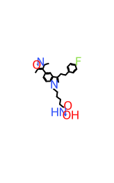 Cc1noc(C)c1-c1ccc2c(c1)c(CCc1ccc(F)cc1)cn2CCCCCC(=O)NO